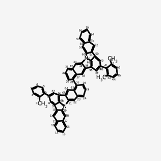 Cc1ccccc1-c1cc2c3cc4ccccc4cc3n3c4cc5cccc(-c6cccc7cc8c(cc67)c6cc(-c7c(C)cccc7C)cc7c9cc%10ccccc%10cc9n8c76)c5cc4c(c1)c23